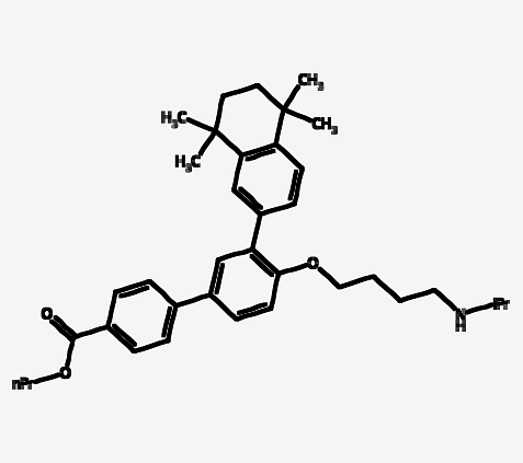 CCCOC(=O)c1ccc(-c2ccc(OCCCCNC(C)C)c(-c3ccc4c(c3)C(C)(C)CCC4(C)C)c2)cc1